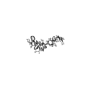 CCc1nc(NN2C(=O)C=C(C)C2=O)c2c(C)c(-c3ccc(OCCN(C)C)cc3)sc2n1